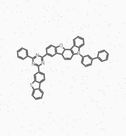 C1=CC2c3cc(-c4nc(-c5ccccc5)nc(-c5ccc6c(c5)sc5ccccc56)n4)ccc3OC2c2c1n(-c1cccc(-c3ccccc3)c1)c1ccccc21